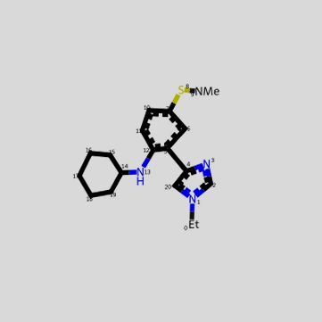 CCn1cnc(-c2cc(SNC)ccc2NC2CCCCC2)c1